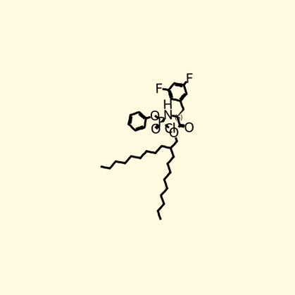 CCCCCCCCCC(CCCCCCCCC)COC(=O)[C@H](Cc1cc(F)cc(F)c1)NP(=O)(Cl)Oc1ccccc1